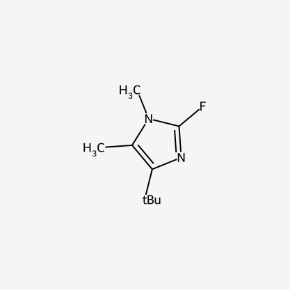 Cc1c(C(C)(C)C)nc(F)n1C